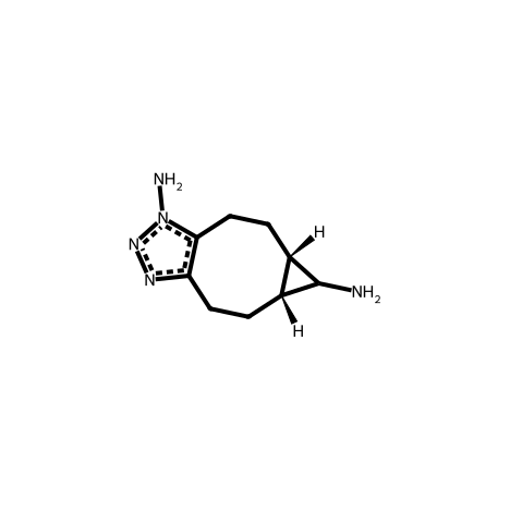 NC1[C@H]2CCc3c(nnn3N)CC[C@@H]12